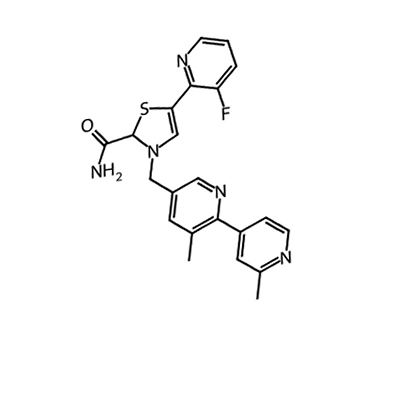 Cc1cc(-c2ncc(CN3C=C(c4ncccc4F)SC3C(N)=O)cc2C)ccn1